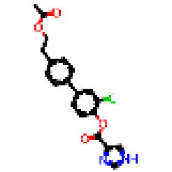 CC(=O)OCCc1ccc(-c2ccc(OC(=O)c3c[nH]cn3)c(Cl)c2)cc1